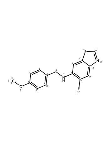 COc1ccc(CNc2cc3scnc3cc2F)cc1